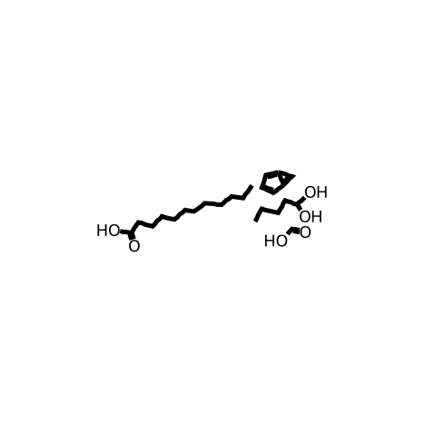 CCCCC(O)O.CCCCCCCCCCCC(=O)O.O=CO.c1cc2cc-2c1